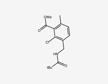 COC(=O)c1c(C)ccc(CNC(=O)C(C)(C)C)c1Cl